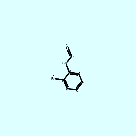 O=C[N]c1ccccc1Br